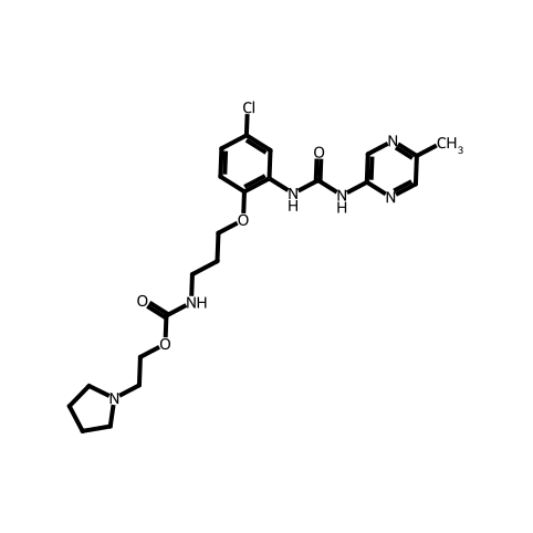 Cc1cnc(NC(=O)Nc2cc(Cl)ccc2OCCCNC(=O)OCCN2CCCC2)cn1